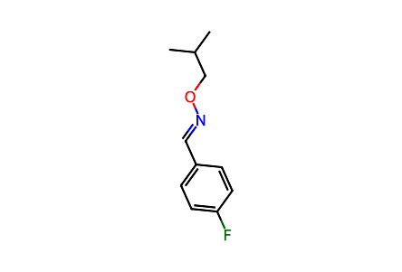 CC(C)CO/N=C/c1ccc(F)cc1